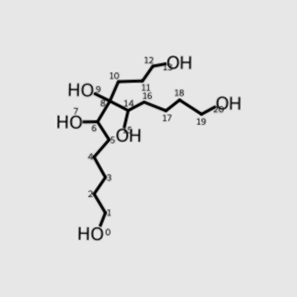 OCCCCCC(O)C(O)(CCCO)C(O)CCCCO